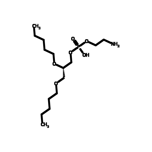 CCCCCOC[C@@H](COP(=O)(O)OCCN)OCCCCC